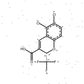 O=C(O)C1=Cc2c(ccc(Cl)c2Cl)O[C@@H]1C(F)(F)F